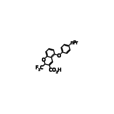 CCCc1ccc(Oc2cccc3c2C=C(C(=O)O)C(C(F)(F)F)O3)cc1